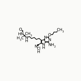 CCCCOc1nc(N)c2[nH]c(C#N)c(CCCCCNC(C)(C)NC=O)c2n1.Cl